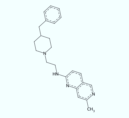 Cc1cc2nc(NCCN3CCC(Cc4ccccc4)CC3)ccc2cn1